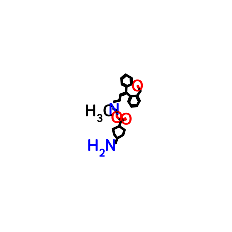 CN(CC/C=C1\c2ccccc2COc2ccccc21)COC(=O)C1CCC(CN)CC1